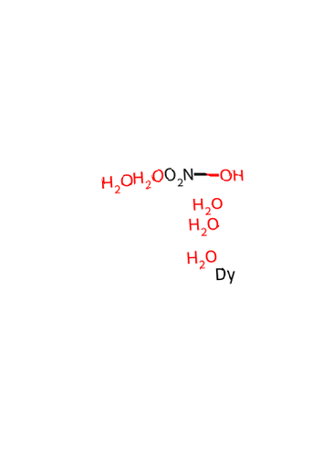 O.O.O.O.O.O=[N+]([O-])O.[Dy]